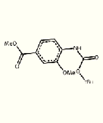 COC(=O)c1ccc(NC(=O)OC(C)(C)C)c(OC)c1